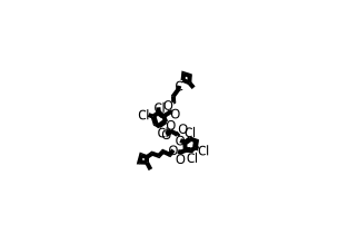 CC1CCC1CCCCOC(=O)c1c(Cl)c(Cl)cc(Cl)c1OC(=O)C(=O)Oc1c(Cl)cc(Cl)c(Cl)c1C(=O)OCCCCC1CCC1C